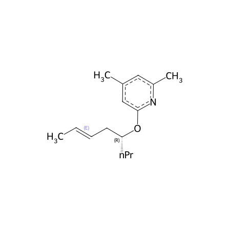 C/C=C/C[C@@H](CCC)Oc1cc(C)cc(C)n1